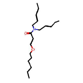 CCCCCCOCCC(=O)N(CCCCC)CCCCC